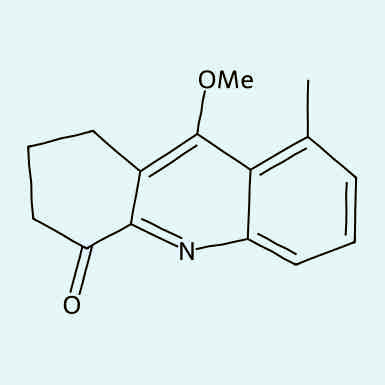 COc1c2c(nc3cccc(C)c13)C(=O)CCC2